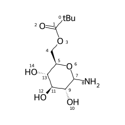 CC(C)(C)C(=O)OC[C@H]1OC(N)[C@H](O)[C@@H](O)[C@@H]1O